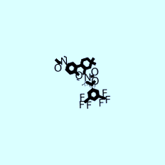 COc1ccc(N(C)C(C)=O)cc1C1=C(CN2C(=O)O[C@H](c3cc(C(F)(F)F)cc(C(F)(F)F)c3)[C@@H]2C)CC(C)(C)CC1